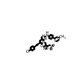 CN1CCSC(c2ccc(Nc3ncc4cc(C#Cc5ccc(Cl)cc5)c(=O)n(Cc5cnoc5C[SH](=O)=O)c4n3)cc2)C1